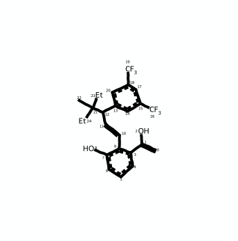 C=C(O)c1cccc(O)c1/C=C/C(c1cc(C(F)(F)F)cc(C(F)(F)F)c1)C(C)(CC)CC